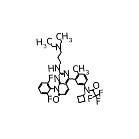 CCN(CC)CCCNc1nc(-c2cc(N(C(=O)C(F)(F)F)C3CCC3)ccc2C)c2ccc(=O)n(-c3c(F)cccc3F)c2n1